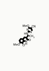 COc1ccc2cc([C@H](C)Nc3ncc(C#N)c(OC)n3)c(=O)[nH]c2c1Cl